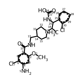 COc1cc(N)c(Cl)cc1C(=O)NCC1CCN(C(C)C(NC(=O)O)c2ccccc2Cl)CC1